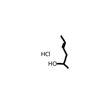 CC=CCC(C)O.Cl